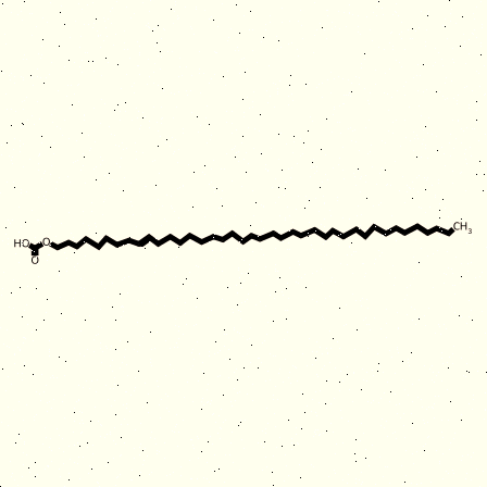 CCCCCCCCCCCCCCCCCCCCCCCCCCCCCCC=CCCCCCCCCOC(=O)O